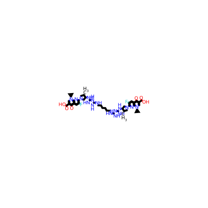 CC1CN(c2nc3c(cc2F)c(=O)c(C(=O)O)cn3C2CC2)CC1NC(=N)NC(=N)NCCCCCCNC(=N)NC(=N)NC1CN(c2nc3c(cc2F)c(=O)c(C(=O)O)cn3C2CC2)CC1C